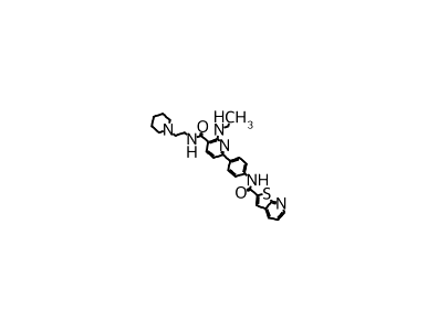 CCNc1nc(-c2ccc(NC(=O)c3cc4cccnc4s3)cc2)ccc1C(=O)NCCN1CCCCC1